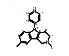 Cc1ccc2c(c1)c1c(n2-c2ccncc2)CCN(C)C1